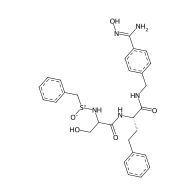 N/C(=N\O)c1ccc(CNC(=O)[C@H](CCc2ccccc2)NC(=O)C(CO)N[S+]([O-])Cc2ccccc2)cc1